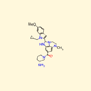 COc1ccc2cc(C3Nc4cc(C(=O)N5CCC[C@@H](N)C5)cc5c4N3CCN5C)n(CC3CC3)c2c1